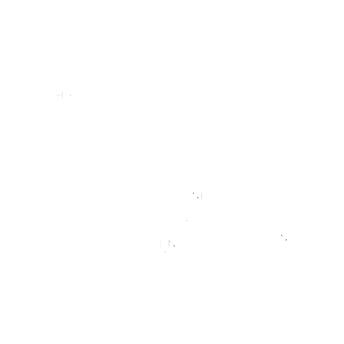 CCCCCCCC(N)(N)CCC#N